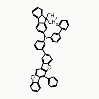 CC1(C)c2ccccc2-c2ccc(N(c3cccc(-c4ccccc4)c3)c3cccc(-c4ccc5oc6c(-c7ccccc7)c7c(cc6c5c4)oc4ccccc47)c3)cc21